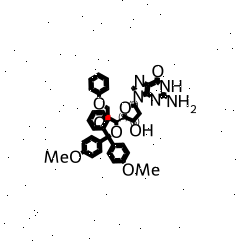 COc1ccc(C(OC(C(=O)COc2ccccc2)[C@H]2O[C@@H](n3cnc4c(=O)[nH]c(N)nc43)C[C@@H]2O)(c2ccccc2)c2ccc(OC)cc2)cc1